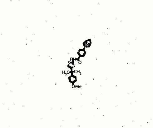 COc1ccc(C(C)(C)c2csc(NC(=O)c3ccc(N4CC5CC(C4)N5)cc3)n2)cc1